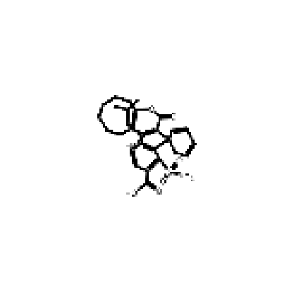 CC(C)CCc1ccc(C(=O)O)c(S(N)(=O)=O)c1C1(c2c(O)c3c(oc2=O)CCCCCC3)C=CC=CC1